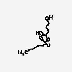 CCCCCS(=O)(=O)OC(O)CCCO